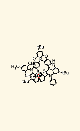 Cc1cc(C)c(N2c3cc4c(cc3B3c5sc6ccccc6c5Oc5cc(C(C)(C)C)cc2c53)B2c3cc5c(cc3Oc3cc(C(C)(C)C)cc(c32)O4)Nc2cc(C(C)(C)C)cc3c2B5c2sc4ccccc4c2N3c2ccccc2)c(C)c1